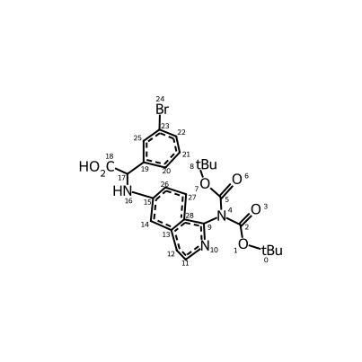 CC(C)(C)OC(=O)N(C(=O)OC(C)(C)C)c1nccc2cc(NC(C(=O)O)c3cccc(Br)c3)ccc12